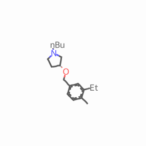 CCCCN1CC[C@@H](OCc2ccc(C)c(CC)c2)C1